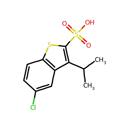 CC(C)c1c(S(=O)(=O)O)sc2ccc(Cl)cc12